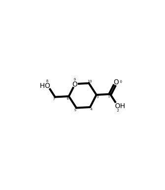 O=C(O)C1CCC(CO)OC1